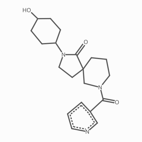 O=C(c1cccnc1)N1CCCC2(CCN(C3CCC(O)CC3)C2=O)C1